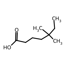 CCC(C)(C)CCCC(=O)O